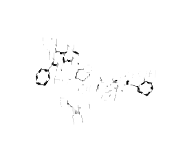 CCN(CC)CC.Nc1nc(-c2ccccc2)nc2c1ncn2[C@@H]1O[C@H](COS(=O)(=O)NC(=O)c2ccccc2O)[C@@H](O)[C@H]1O